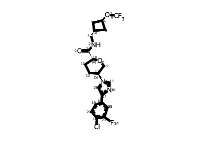 O=C(NC[C@H]1C[C@H](OC(F)(F)F)C1)[C@H]1CC[C@H](n2cnc(-c3ccc(Cl)c(F)c3)c2)CO1